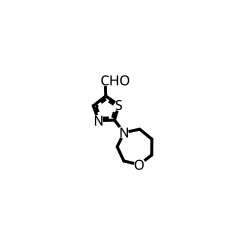 O=Cc1cnc(N2CCCOCC2)s1